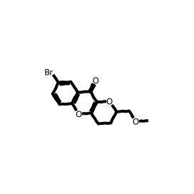 COCC1CCc2oc3ccc(Br)cc3c(=O)c2O1